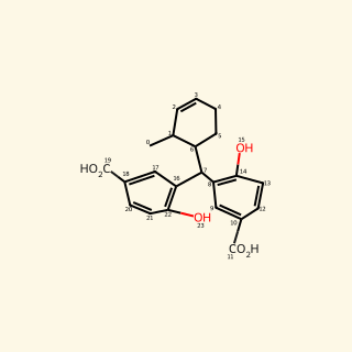 CC1C=CCCC1C(c1cc(C(=O)O)ccc1O)c1cc(C(=O)O)ccc1O